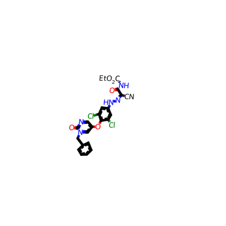 CCOC(=O)NC(=O)C(C#N)=NNc1cc(Cl)c(Oc2cnc(=O)n(Cc3ccccc3)c2)c(Cl)c1